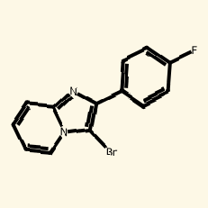 Fc1ccc(-c2nc3ccccn3c2Br)cc1